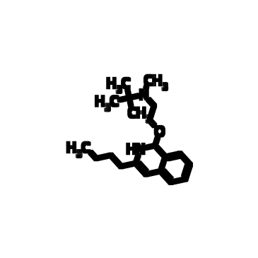 CCCCC1=Cc2ccccc2C(OCCN(C)C(C)(C)C)N1